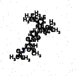 COC(=O)NC(CC/C=C/C(=O)N(C)C)C(=O)Nc1cccn(Cc2nc3c(CC(C)(C)C)cc(F)cc3n2C(=O)OC(C)(C)C)c1=O